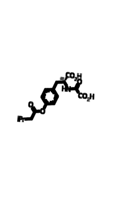 CC(C)CC(=O)Oc1ccc(C[C@@H](NC(=O)C(=O)O)C(=O)O)cc1